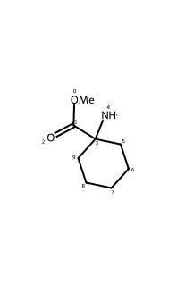 COC(=O)C1([NH])CCCCC1